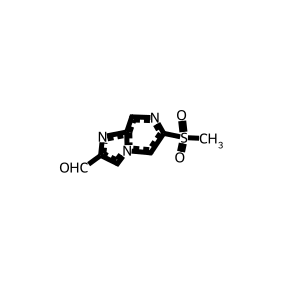 CS(=O)(=O)c1cn2cc(C=O)nc2cn1